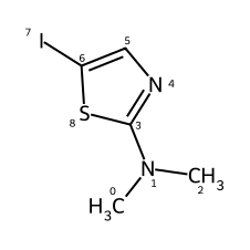 CN(C)c1ncc(I)s1